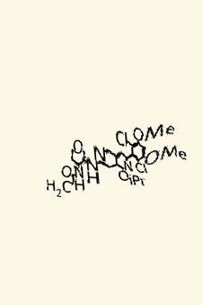 C=CC(=O)N[C@H]1CCOC[C@H]1Nc1cc2c(OC(C)C)nc(-c3c(Cl)c(OC)cc(OC)c3Cl)cc2cn1